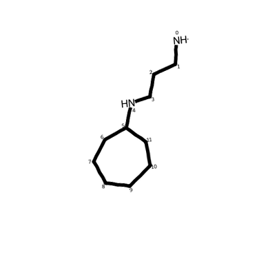 [NH]CCCNC1CCCCCC1